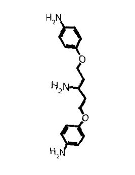 Nc1ccc(OCCC(N)CCOc2ccc(N)cc2)cc1